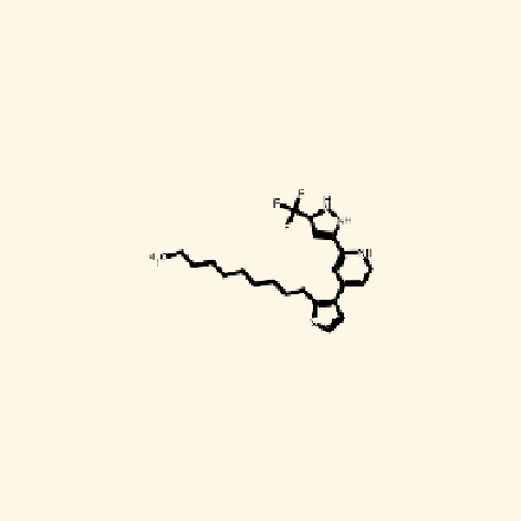 CCCCCCCCCCc1sccc1C1=CCNC(C2=CC(C(F)(F)F)NN2)=C1